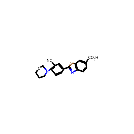 N#Cc1cc(-c2nc3ccc(C(=O)O)cc3s2)ccc1N1CCCCC1